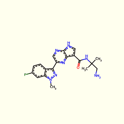 Cn1nc(-c2cnc3[nH]cc(C(=O)NC(C)(C)CN)c3n2)c2ccc(F)cc21